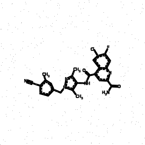 Cc1cc(Cn2nc(C)c(NC(=O)c3cc(C(N)=O)nc4cc(F)c(Cl)cc34)c2C)ccc1C#N